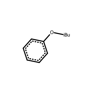 [CH2]CC(C)Oc1ccccc1